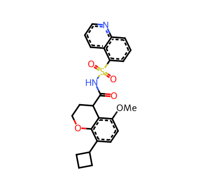 COc1ccc(C2CCC2)c2c1C(C(=O)NS(=O)(=O)c1cccc3ncccc13)CCO2